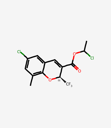 Cc1cc(Cl)cc2c1O[C@H](C(F)(F)F)C(C(=O)OC(C)Cl)=C2